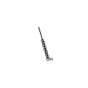 CCCCCCCCCCCCCCCCCCOCCOCCOCCOCCOCCOCCOCCOCCO